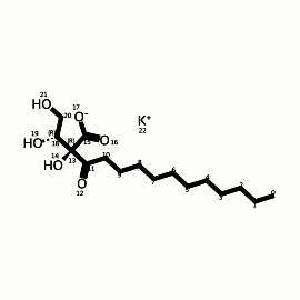 CCCCCCCCCCCC(=O)[C@@](O)(C(=O)[O-])[C@H](O)CO.[K+]